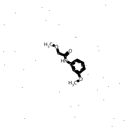 COCC(=O)Nc1cccc(OC)c1